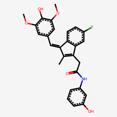 COc1cc(/C=C2/C(C)=C(CC(=O)Nc3cccc(O)c3)c3cc(F)ccc32)cc(OC)c1O